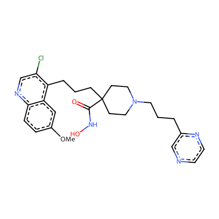 COc1ccc2ncc(Cl)c(CCCC3(C(=O)NO)CCN(CCCc4cnccn4)CC3)c2c1